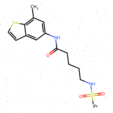 Cc1cc(NC(=O)CCCCNS(=O)(=O)C(C)C)cc2ccsc12